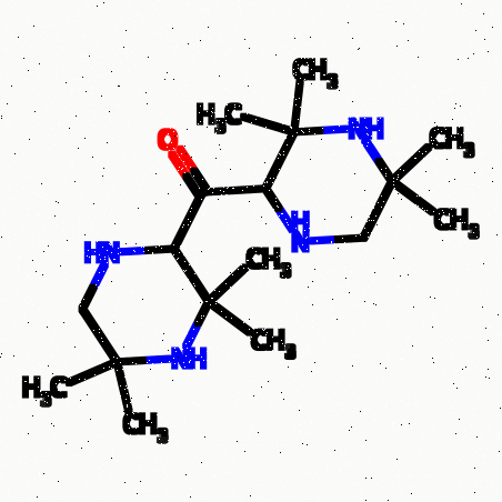 CC1(C)CNC(C(=O)C2NCC(C)(C)NC2(C)C)C(C)(C)N1